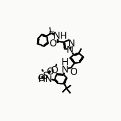 COc1c(NC(=O)c2ccc(C)c(-n3cc(C(=O)N[C@H](C)c4ccccc4)cn3)c2)cc(C(C)(C)C)cc1NS(C)(=O)=O